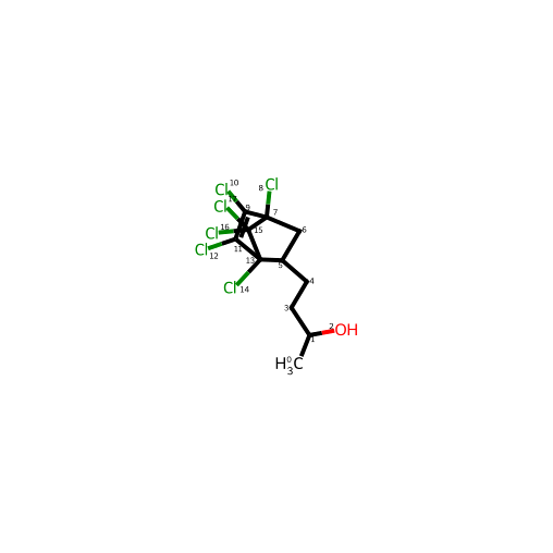 CC(O)CCC1CC2(Cl)C(Cl)=C(Cl)C1(Cl)C2(Cl)Cl